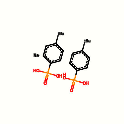 CC(C)(C)c1ccc(P(=O)(O)O)cc1.CC(C)(C)c1ccc(P(=O)(O)O)cc1.[Na]